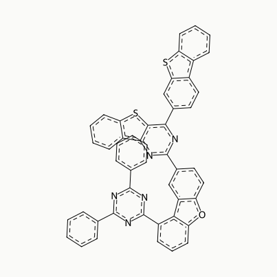 c1ccc(-c2nc(-c3ccccc3)nc(-c3cccc4oc5ccc(-c6nc(-c7ccc8c(c7)sc7ccccc78)c7sc8ccccc8c7n6)cc5c34)n2)cc1